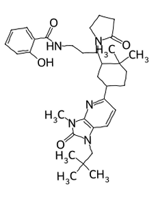 Cn1c(=O)n(CC(C)(C)C)c2ccc(C3CCC(C)(C)C(C(CCNC(=O)c4ccccc4O)N4CCCC4=O)C3)nc21